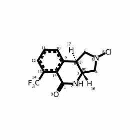 O=C1N[C@H]2CN(Cl)C[C@@H]2c2cccc(C(F)(F)F)c21